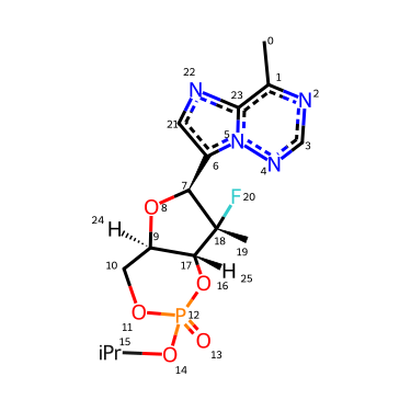 Cc1ncnn2c([C@@H]3O[C@@H]4COP(=O)(OC(C)C)O[C@H]4[C@@]3(C)F)cnc12